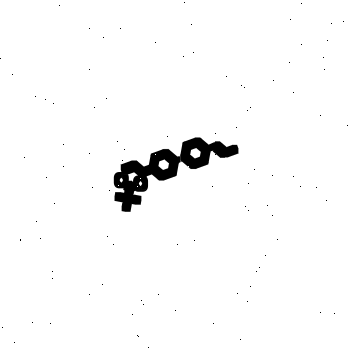 C=CC(OC(=O)C(C)(C)C)C1CCC([C@H]2CC[C@H](/C=C/C)CC2)CC1